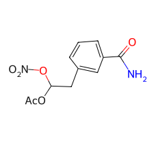 CC(=O)OC(Cc1cccc(C(N)=O)c1)O[N+](=O)[O-]